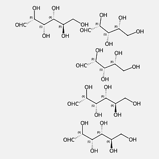 O=C[C@H](O)[C@@H](O)[C@H](O)CO.O=C[C@H](O)[C@@H](O)[C@H](O)CO.O=C[C@H](O)[C@@H](O)[C@H](O)[C@H](O)CO.O=C[C@H](O)[C@@H](O)[C@H](O)[C@H](O)CO.O=C[C@H](O)[C@@H](O)[C@H](O)[C@H](O)CO